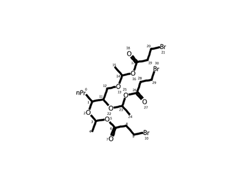 CCCC(OC(C)OC(=O)CCBr)C(COC(C)OC(=O)CCBr)OC(C)OC(=O)CCBr